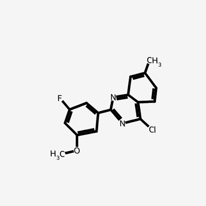 COc1cc(F)cc(-c2nc(Cl)c3ccc(C)cc3n2)c1